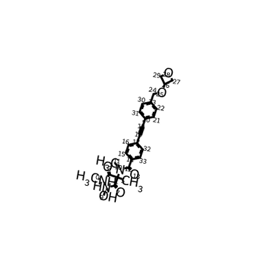 CNC(=O)C(C)(C(=O)NO)N(C)C(=O)c1ccc(C#Cc2ccc(COC3COC3)cc2)cc1